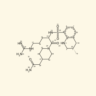 C[C@@H]1CNc2c(cccc2S(=O)(=O)NC(CCCNC(=N)N)C(=O)N2CCC(CC(N)=O)CC2)C1